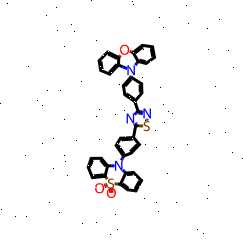 O=S1(=O)c2ccccc2N(c2ccc(-c3nc(-c4ccc(N5c6ccccc6Oc6ccccc65)cc4)ns3)cc2)c2ccccc21